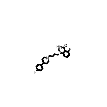 O=C1NCN(CCCCN2CC=C(c3ccc(F)cc3)CC2)c2cccc(F)c21